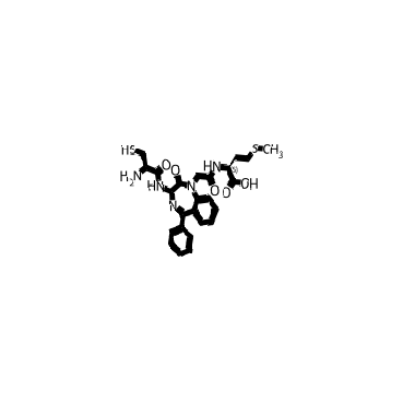 CSCC[C@H](NC(=O)CN1C(=O)C(NC(=O)C(N)CS)N=C(c2ccccc2)c2ccccc21)C(=O)O